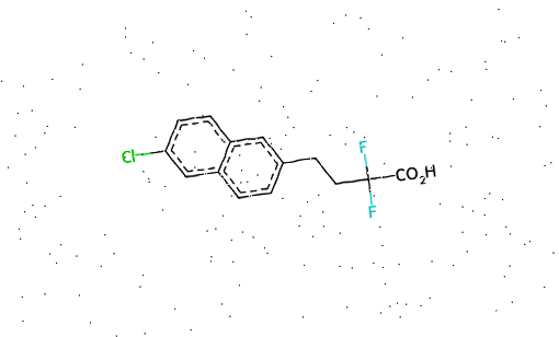 O=C(O)C(F)(F)CCc1ccc2cc(Cl)ccc2c1